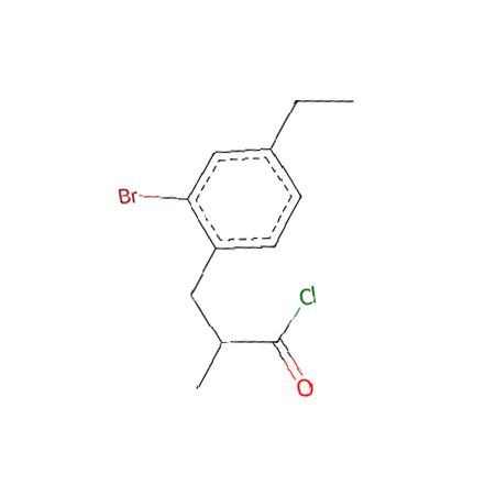 CCc1ccc(CC(C)C(=O)Cl)c(Br)c1